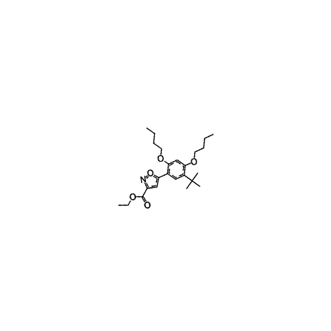 CCCCOc1cc(OCCCC)c(C(C)(C)C)cc1-c1cc(C(=O)OCC)no1